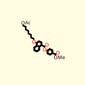 COC(=O)c1ccc(OC(=O)c2ccc(OCCCCCCCCOC(C)=O)c3ccccc23)cc1